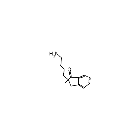 CC1(CCCCN)Cc2ccccc2C1=O